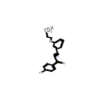 O=C(O)CCOc1cccc(/C=C/C(=O)c2ccc(Cl)cc2)c1